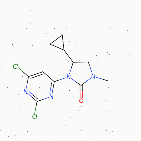 CN1CC(C2CC2)N(c2cc(Cl)nc(Cl)n2)C1=O